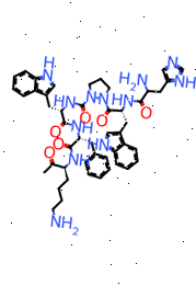 CC(=O)[C@H](CCCCN)NC(=O)[C@@H](Cc1ccccc1)NC(=O)[C@H](Cc1c[nH]c2ccccc12)NC(=O)N1CCCN1C(=O)[C@@H](Cc1c[nH]c2ccccc12)NC(=O)[C@@H](N)Cc1cnc[nH]1